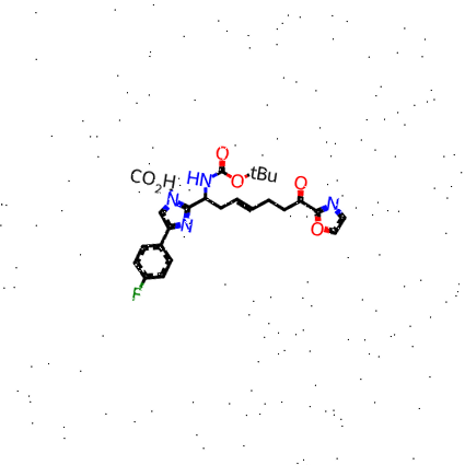 CC(C)(C)OC(=O)NC(CC=CCCC(=O)c1ncco1)c1nc(-c2ccc(F)cc2)cn1C(=O)O